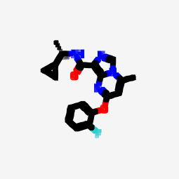 Cc1cc(Oc2ccccc2F)nc2c(C(=O)N[C@@H](C)C3CC3)ncn12